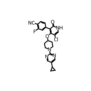 N#Cc1ccc(-c2c(OC3CCN(c4ncc(C5CC5)cn4)CC3)c(Cl)c[nH]c2=O)cc1F